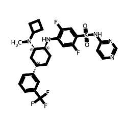 CN(C1CCC1)[C@H]1C[C@@H](c2cccc(C(F)(F)F)c2)CC[C@@H]1Nc1cc(F)c(S(=O)(=O)Nc2ccncn2)cc1F